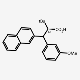 COc1cccc(C(c2ccc3ccccc3c2)[C@H](C(=O)O)C(C)(C)C)c1